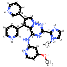 COc1ccnc(Nc2nc(-c3nccn3C)nn3cc(-c4cccnc4)c(-c4cccnc4)c23)c1